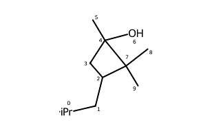 C[C](C)CC1CC(C)(O)C1(C)C